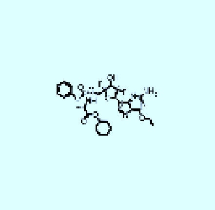 CCOc1nc(N)nc2c1ncn2[C@@H]1O[C@](F)(CO[P@](=O)(N[C@@H](C)C(=O)OC2CCCCC2)Oc2ccccc2)C(O)[C@@]1(C)F